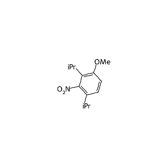 COc1ccc(C(C)C)c([N+](=O)[O-])c1C(C)C